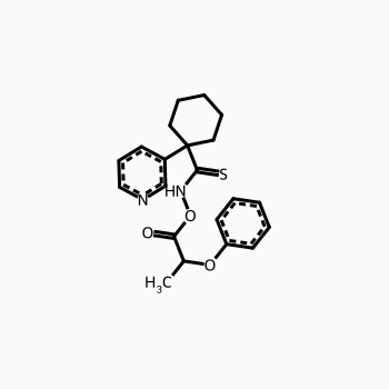 CC(Oc1ccccc1)C(=O)ONC(=S)C1(c2cccnc2)CCCCC1